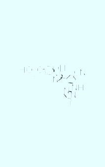 N#Cc1cc(Nc2nccc(C(F)(F)F)n2)cc(-c2cnc(C3(O)CCC(C(=O)O)CC3)s2)c1